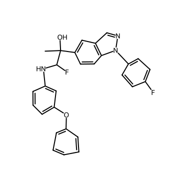 CC(O)(c1ccc2c(cnn2-c2ccc(F)cc2)c1)C(F)Nc1cccc(Oc2ccccc2)c1